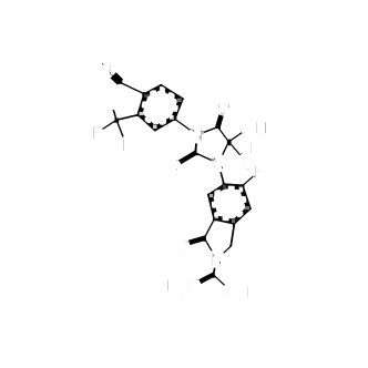 C=C(C)N1Cc2cc(F)c(N3C(=S)N(c4ccc(C#N)c(C(F)(F)F)c4)C(=O)C3(C)C)cc2C1=O